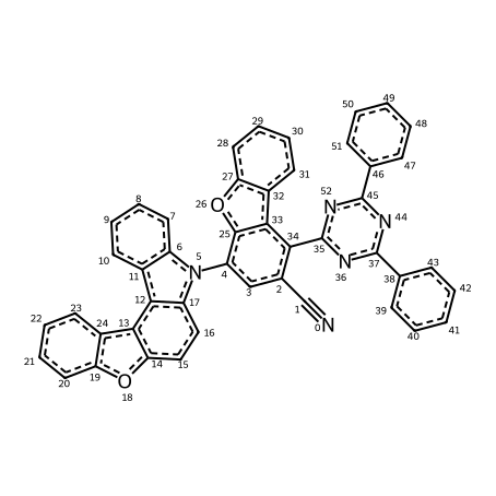 N#Cc1cc(-n2c3ccccc3c3c4c(ccc32)oc2ccccc24)c2oc3ccccc3c2c1-c1nc(-c2ccccc2)nc(-c2ccccc2)n1